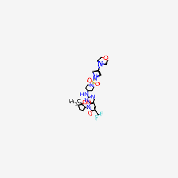 C[C@@]1(O)CCC[C@H]1n1c(=O)c(C(F)F)cc2cnc(NC3CCN(S(=O)(=O)N4CC(N5CCOCC5)C4)CC3)nc21